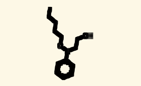 CCCCCON(CCO)c1ccccc1